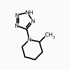 CC1CCCCN1c1nn[nH]n1